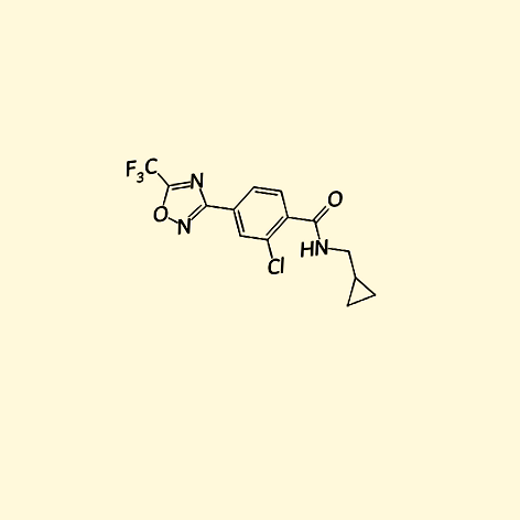 O=C(NCC1CC1)c1ccc(-c2noc(C(F)(F)F)n2)cc1Cl